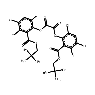 CCCC(C)(COC(=O)c1c(Cl)c(Cl)cc(Cl)c1OC(=O)C(=O)Oc1c(Cl)cc(Cl)c(Cl)c1C(=O)OCC(C)(CCC)C(C)C)C(C)C